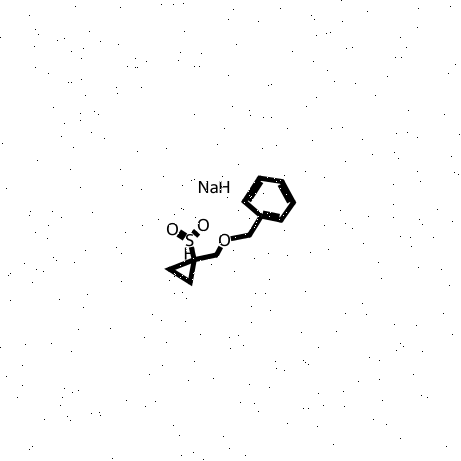 O=[SH](=O)C1(COCc2ccccc2)CC1.[NaH]